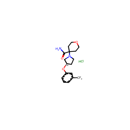 Cl.NC(=O)C1(N2CC[C@@H](Oc3cccc(C(F)(F)F)c3)C2)CCOCC1